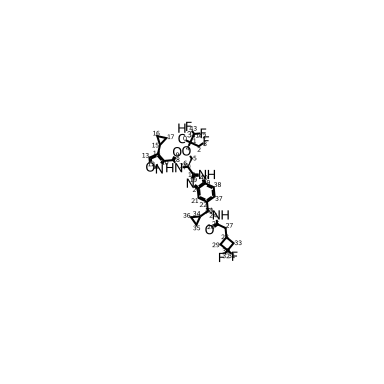 CC(CF)(OC[C@H](NC(=O)c1nocc1C1CC1)c1nc2cc([C@H](NC(=O)CC3CC(F)(F)C3)C3CC3)ccc2[nH]1)C(F)F